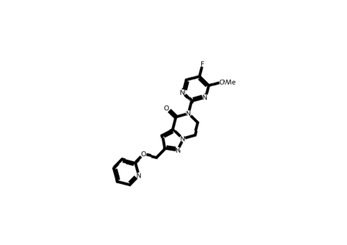 COc1nc(N2CCn3nc(COc4ccccn4)cc3C2=O)ncc1F